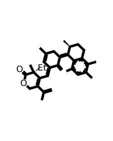 C=C(C)C1=C(/C=C2\C=C(C)C/C(=C3/c4c(C)cc(C)c(C)c4CC[C@@H]3C)C2=C)[C@@](C)(CC)C(=O)OC1